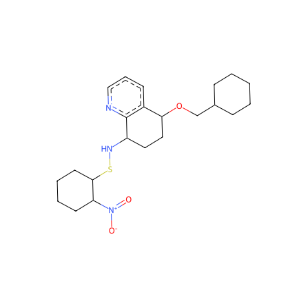 O=[N+]([O-])C1CCCCC1SNC1CCC(OCC2CCCCC2)c2cccnc21